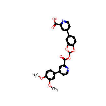 COc1ccc(-c2ccnc(C(=O)OC3Oc4ccc(-c5ccnc(C(=O)O)c5)cc4O3)c2)cc1OC